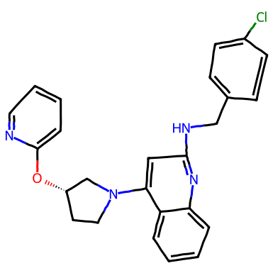 Clc1ccc(CNc2cc(N3CC[C@H](Oc4ccccn4)C3)c3ccccc3n2)cc1